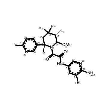 CCc1cc(NC(=O)C(=O)N2C(OC)[C@@H](C)C(F)(F)C[C@@]2(C)c2ccc(C)nc2)cnc1N